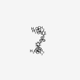 CC(C)(C)OC(=O)N1CCCC(COC(=O)OCC2CCCN(C(=O)OC(C)(C)C)C2)C1